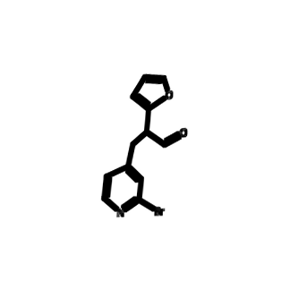 O=CC(Cc1ccnc(Br)c1)c1ccco1